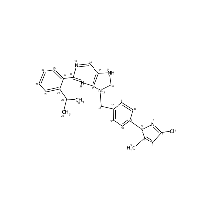 Cc1cc(Cl)nn1-c1ccc(CN2CNc3cnc(-c4ccccc4C(C)C)nc32)cc1